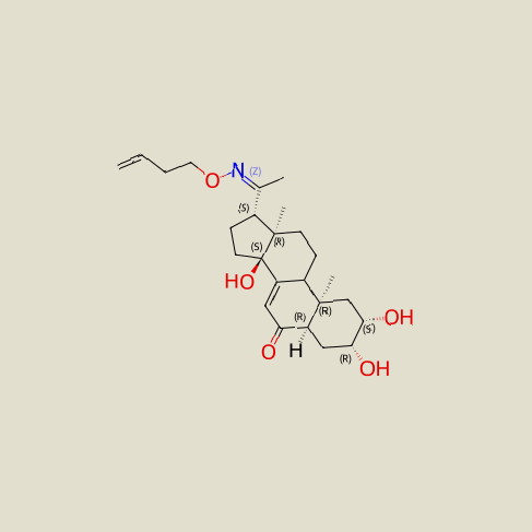 C=CCCO/N=C(/C)[C@H]1CC[C@@]2(O)C3=CC(=O)[C@@H]4C[C@@H](O)[C@@H](O)C[C@]4(C)C3CC[C@]12C